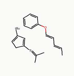 CC=CC=COc1ccccc1.C[C](C)=[Ti][C]1=CC(C(C)(C)C)=CC1